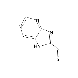 S=Cc1nc2ncncc2[nH]1